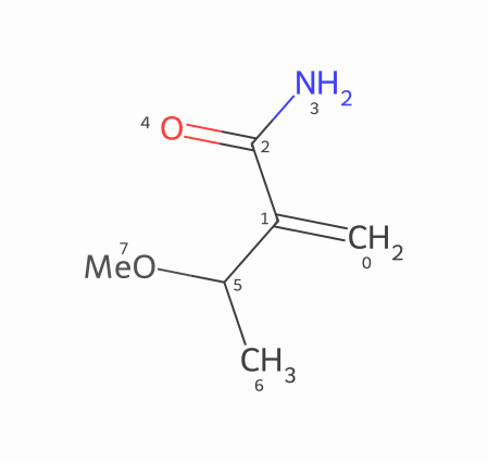 C=C(C(N)=O)C(C)OC